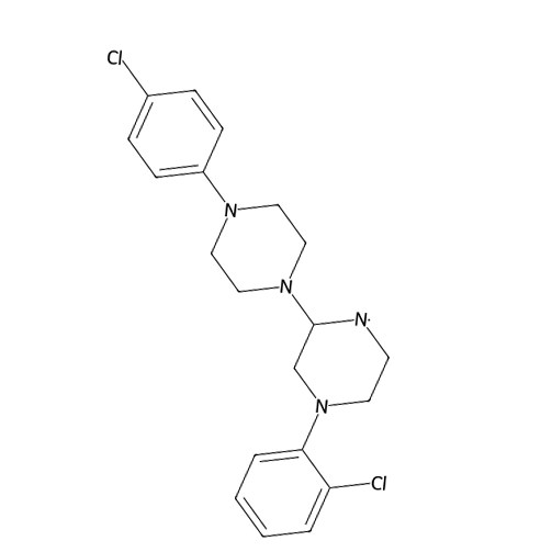 Clc1ccc(N2CCN(C3CN(c4ccccc4Cl)CC[N]3)CC2)cc1